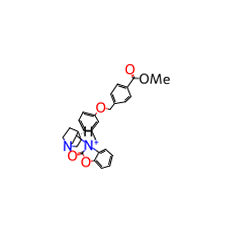 COC(=O)c1ccc(COc2cccc(C[N+]3([C@H]4CN5CCC4CC5)C(=O)Oc4ccccc43)c2)cc1